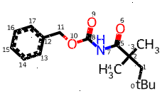 CC(C)(C)CC(C)(C)C(=O)NC(=O)OCc1ccccc1